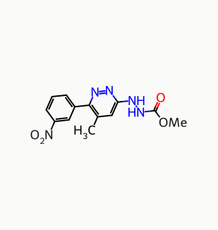 COC(=O)NNc1cc(C)c(-c2cccc([N+](=O)[O-])c2)nn1